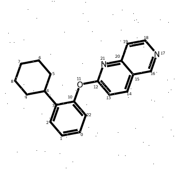 c1ccc(C2CCCCC2)c(Oc2ccc3cnccc3n2)c1